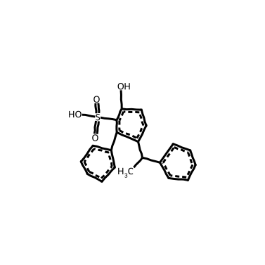 CC(c1ccccc1)c1ccc(O)c(S(=O)(=O)O)c1-c1ccccc1